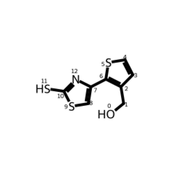 OCc1ccsc1-c1csc(S)n1